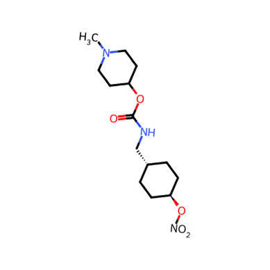 CN1CCC(OC(=O)NC[C@H]2CC[C@H](O[N+](=O)[O-])CC2)CC1